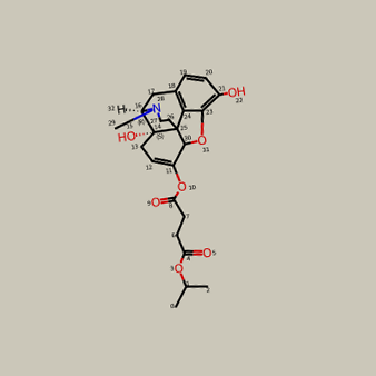 CC(C)OC(=O)CCC(=O)OC1=CC[C@@]2(O)[C@H]3Cc4ccc(O)c5c4C2(CCN3C)C1O5